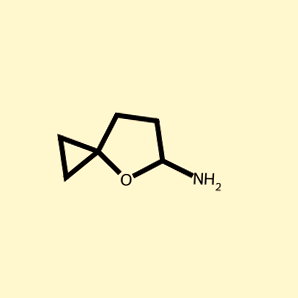 NC1CCC2(CC2)O1